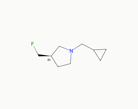 FC[C@@H]1CCN(CC2CC2)C1